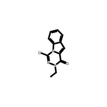 CCn1nc(Cl)n2c(cc3ccccc32)c1=O